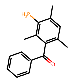 Cc1cc(C)c(C(=O)c2ccccc2)c(C)c1P